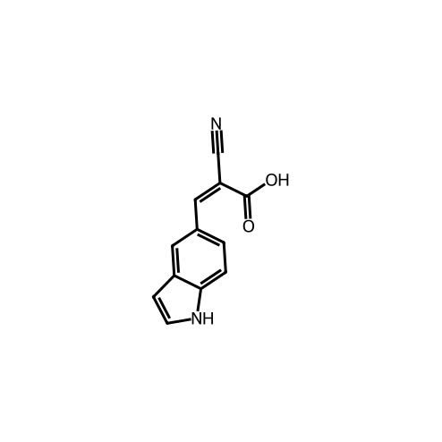 N#C/C(=C/c1ccc2[nH]ccc2c1)C(=O)O